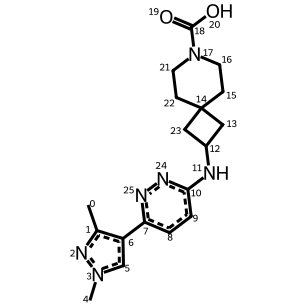 Cc1nn(C)cc1-c1ccc(NC2CC3(CCN(C(=O)O)CC3)C2)nn1